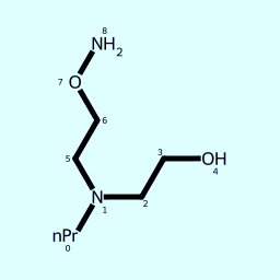 CCCN(CCO)CCON